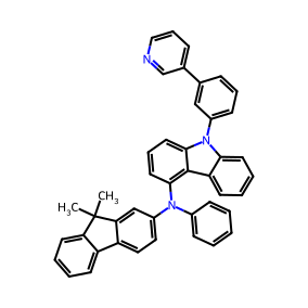 CC1(C)c2ccccc2-c2ccc(N(c3ccccc3)c3cccc4c3c3ccccc3n4-c3cccc(-c4cccnc4)c3)cc21